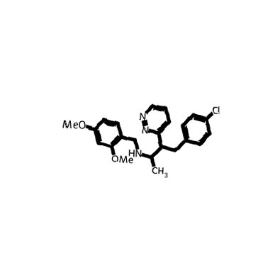 COc1ccc(CNC(C)C(Cc2ccc(Cl)cc2)c2cccnn2)c(OC)c1